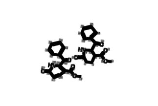 COC(=O)C1CCC(=O)NC1C(=O)c1ccccc1.COC(=O)c1ccc(=O)[nH]c1C(=O)c1ccccc1